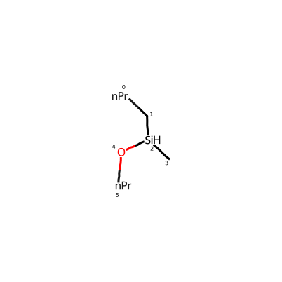 CCCC[SiH](C)OCCC